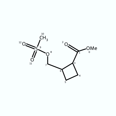 COC(=O)C1CCC1COS(C)(=O)=O